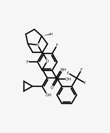 N=C(/C(COC1CC2CC[C@@H](C1)N2c1c(F)cc(C(=O)O)cc1F)=C(\O)C1CC1)c1ccccc1C(F)(F)F